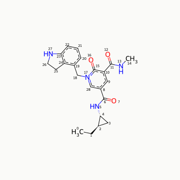 CC[C@@H]1C[C@H]1NC(=O)c1cc(C(=O)NC)c(=O)n(Cc2cccc3c2CCN3)c1